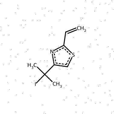 C=Cc1nc(C(C)(C)I)cs1